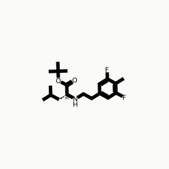 Cc1c(F)cc(CCN[C@H](CC(C)C)C(=O)OC(C)(C)C)cc1F